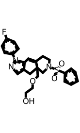 O=S(=O)(c1ccccc1)N1CCC2=Cc3c(cnn3-c3ccc(F)cc3)CC2(COCCO)C1